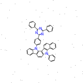 c1ccc(-c2nc(-c3ccccc3)nc(-c3ccc(-n4c5ccccc5c5ccc6c(c7ccc8ccccc8c7n6-c6ccccc6)c54)cc3)n2)cc1